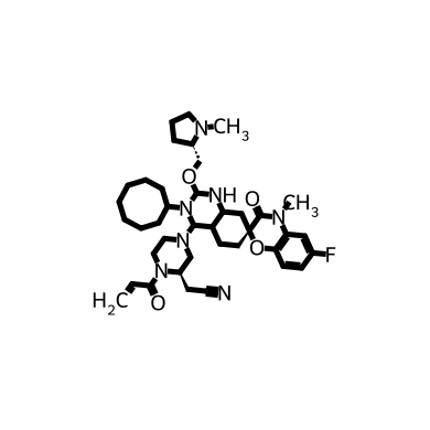 C=CC(=O)N1CCN(C2C3CC[C@]4(CC3NC(OC[C@@H]3CCCN3C)N2C2CCCCCCC2)Oc2ccc(F)cc2N(C)C4=O)C[C@H]1CC#N